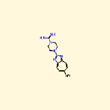 CCCc1ccc2nc(N3CCN(C(=N)N)CC3)nc-2cc1